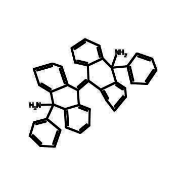 NC1(c2ccccc2)c2ccccc2C(=C2c3ccccc3C(N)(c3ccccc3)c3ccccc32)c2ccccc21